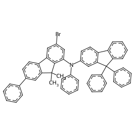 CC1(C)c2cc(-c3ccccc3)ccc2-c2cc(Br)cc(N(c3ccccc3)c3ccc4c(c3)C(c3ccccc3)(c3ccccc3)c3ccccc3-4)c21